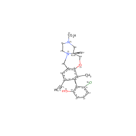 C#Cc1cc2c(c(C)c1-c1c(O)cccc1Cl)OC[C@H]1CN(C(=O)O)CCN1C2